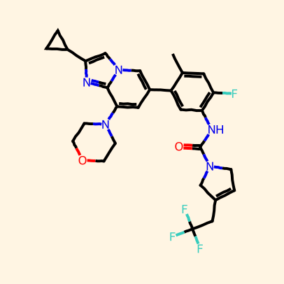 Cc1cc(F)c(NC(=O)N2CC=C(CC(F)(F)F)C2)cc1-c1cc(N2CCOCC2)c2nc(C3CC3)cn2c1